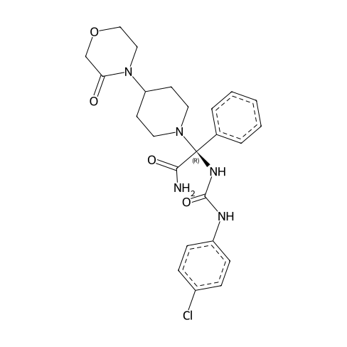 NC(=O)[C@@](NC(=O)Nc1ccc(Cl)cc1)(c1ccccc1)N1CCC(N2CCOCC2=O)CC1